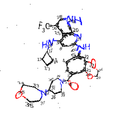 O=C(c1ccc(Nc2cc(NC3CCC3)c3c(C(F)(F)F)c[nH]c3n2)c2c1OCCO2)N1CCC(N2CCOCC2)CC1